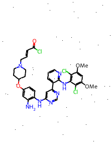 COc1cc(OC)c(Cl)c(Nc2ncccc2-c2cc(Nc3ccc(OC4CCN(C/C=C/C(=O)Cl)CC4)cc3N)ncn2)c1Cl